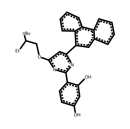 CCCCC(CC)COc1cc(-c2cc3ccccc3c3ccccc23)nc(-c2ccc(O)cc2O)n1